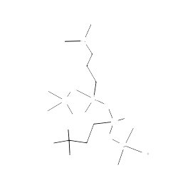 CN(C)CCC[Si](C)(O[Si](C)(C)O)O[Si](C)(CCC(F)(F)F)O[Si](C)(C)O